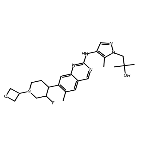 Cc1cc2cnc(Nc3cnn(CC(C)(C)O)c3C)nc2cc1C1CCN(C2COC2)CC1F